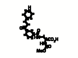 COC(=O)NC(CNC(=O)[C@@H]1CCCN(C(=O)CCC2CCNCC2)C1)C(=O)O